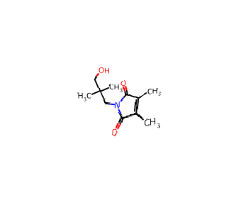 CC1=C(C)C(=O)N(CC(C)(C)CO)C1=O